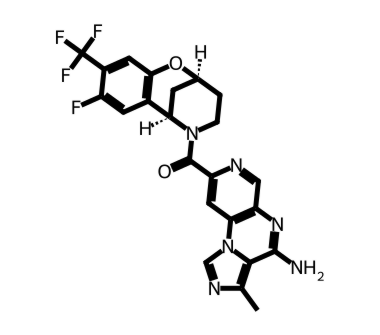 Cc1ncn2c1c(N)nc1cnc(C(=O)N3CC[C@H]4C[C@@H]3c3cc(F)c(C(F)(F)F)cc3O4)cc12